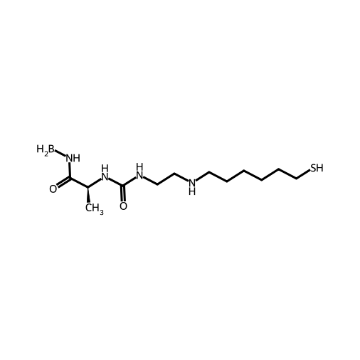 BNC(=O)[C@H](C)NC(=O)NCCNCCCCCCS